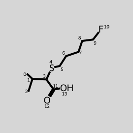 CC(C)C(SCCCCCF)C(=O)O